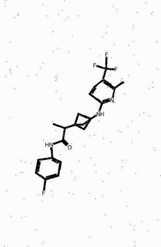 Cc1nc(NC23CC(C(C)C(=O)Nc4ccc(F)cc4)(C2)C3)ccc1C(F)(F)F